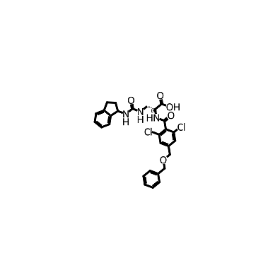 O=C(NC[C@@H](NC(=O)c1c(Cl)cc(COCc2ccccc2)cc1Cl)C(=O)O)NC1CCc2ccccc21